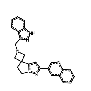 c1ccc2ncc(-c3cc4n(n3)CCC43CN(Cc4n[nH]c5ccccc45)C3)cc2c1